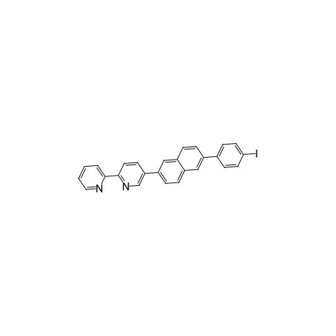 Ic1ccc(-c2ccc3cc(-c4ccc(-c5ccccn5)nc4)ccc3c2)cc1